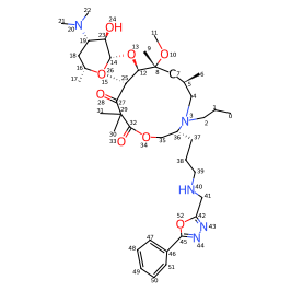 CCCN1C[C@H](C)C[C@@](C)(OC)[C@H](O[C@@H]2O[C@H](C)C[C@H](N(C)C)[C@H]2O)[C@@H](C)C(=O)C(C)(C)C(=O)OC[C@H]1CCCNCc1nnc(-c2ccccc2)o1